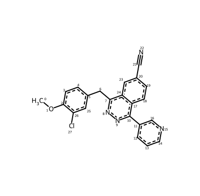 COc1ccc(Cc2nnc(-c3cccnc3)c3ccc(C#N)cc23)cc1Cl